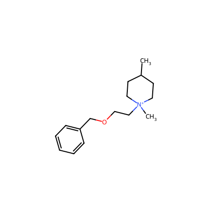 CC1CC[N+](C)(CCOCc2ccccc2)CC1